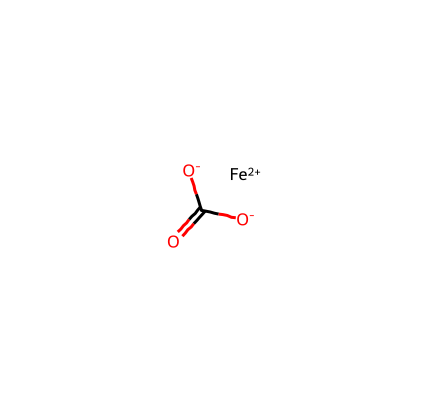 O=C([O-])[O-].[Fe+2]